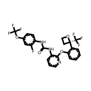 O=C(Nc1ccc(OC(F)(F)F)cc1F)Nc1cccnc1Oc1ccccc1[C@@]1(C(F)(F)F)CCO1